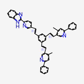 Cc1cc(-c2ccccc2)ncc1/C=C/c1cc(/C=C/c2ccc(-c3nc4ccccc4[nH]3)nc2)cc(/C=C/c2cnc(-c3ccccc3)cc2C)c1